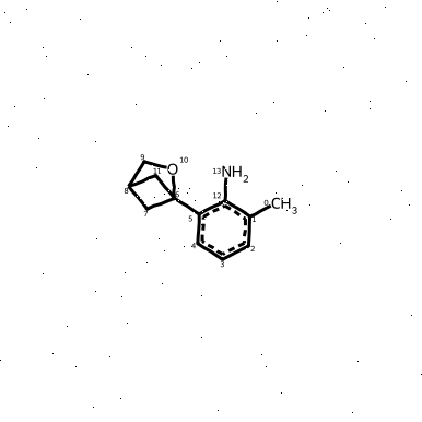 Cc1cccc(C23CC(CO2)C3)c1N